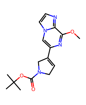 COc1nc(C2=CCN(C(=O)OC(C)(C)C)C2)cn2ccnc12